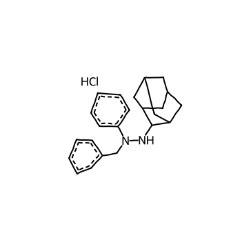 Cl.c1ccc(CN(NC2C3CC4CC(C3)CC2C4)c2ccccc2)cc1